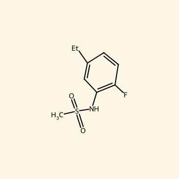 CCc1ccc(F)c(NS(C)(=O)=O)c1